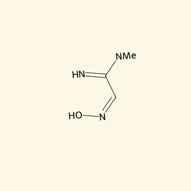 CNC(=N)/C=N\O